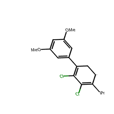 COc1cc(OC)cc(C2=C(Cl)C(Cl)=C(C(C)C)[CH]C2)c1